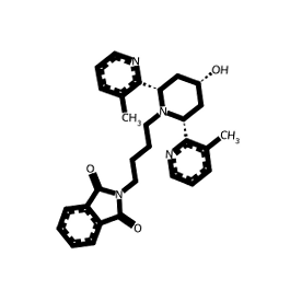 Cc1cccnc1[C@H]1C[C@@H](O)C[C@@H](c2ncccc2C)N1CCCCN1C(=O)c2ccccc2C1=O